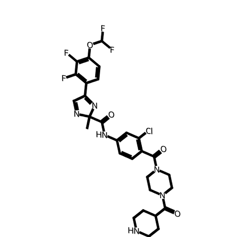 CC1(C(=O)Nc2ccc(C(=O)N3CCN(C(=O)C4CCNCC4)CC3)c(Cl)c2)N=CC(c2ccc(OC(F)F)c(F)c2F)=N1